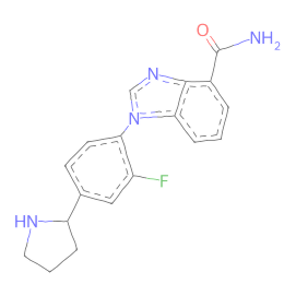 NC(=O)c1cccc2c1ncn2-c1ccc(C2CCCN2)cc1F